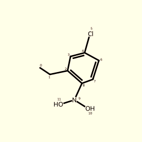 CCc1cc(Cl)ccc1N(O)O